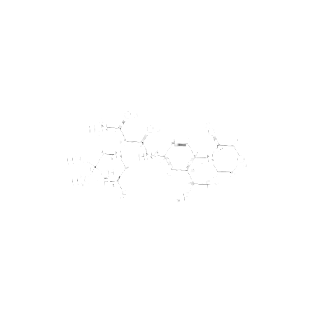 CC(C)(C)CN(CC(F)F)[C@H](C(N)=O)C(=O)Nc1ccc(N2CCOCC2=O)c(C(F)F)c1